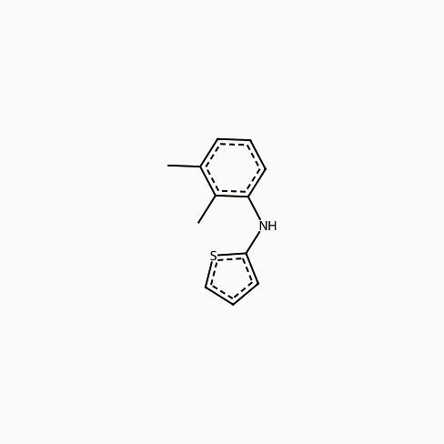 Cc1cccc(Nc2cccs2)c1C